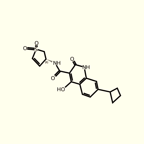 O=C(N[C@@H]1C=CS(=O)(=O)C1)c1c(O)c2ccc(C3CCC3)cc2[nH]c1=O